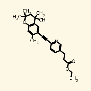 CCOC(=O)CCc1ccc(C#Cc2cc3c(cc2C)OC(C)(C)CC3(C)C)nc1